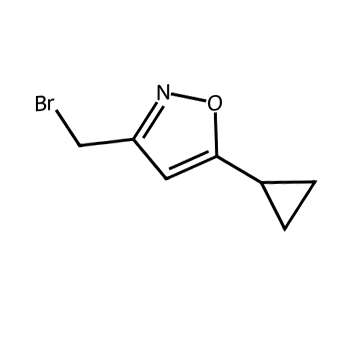 BrCc1cc(C2CC2)on1